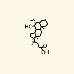 CC[C@H]1C(O)C2C(CC[C@@]3(C)C2CC[C@@H]3[C@H](C)CCC(=O)O)[C@@]2(C)CCCCC12